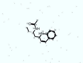 CC[C@@H](CC1C=Cc2ccccc2N1)NC(C)=O